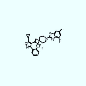 Cc1cc(F)c2nc(N3CCC4(C=C(c5c(-c6ccccc6C(F)(F)F)noc5C5CC5)C4)CC3)sc2c1